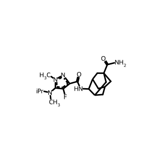 CC(C)N(C)c1c(F)c(C(=O)NC2C3CC4CC2CC(C(N)=O)(C4)C3)nn1C